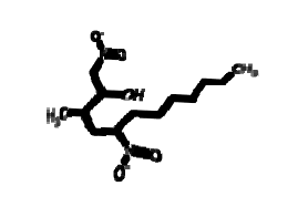 CCCCCCCC(CC(C)C(O)C[N+](=O)[O-])[N+](=O)[O-]